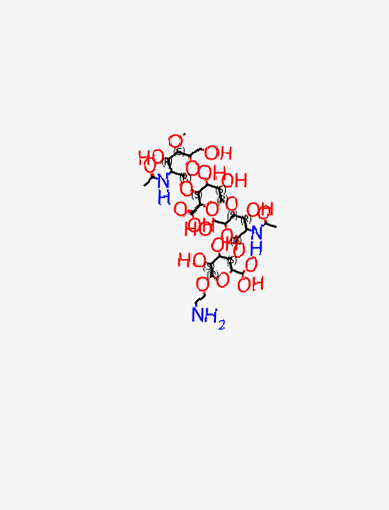 CO[C@@H]1C(CO)O[C@H](O[C@@H]2C(C(=O)O)O[C@@H](O[C@@H]3C(CO)O[C@H](O[C@@H]4C(C(=O)O)O[C@@H](OCCN)[C@@H](O)C4O)C(NC(C)=O)[C@H]3O)[C@@H](O)C2O)C(NC(C)=O)[C@H]1O